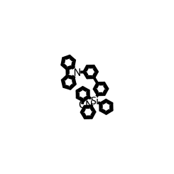 N#Cc1ccccc1[Si](c1ccccc1)(c1ccccc1)c1cccc(-c2cccc(-n3c4ccccc4c4ccccc43)c2)c1